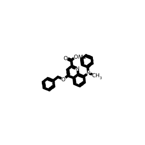 COC(=O)c1cc(OCc2ccccc2)c2cccc(N(C)c3ccccc3)c2n1